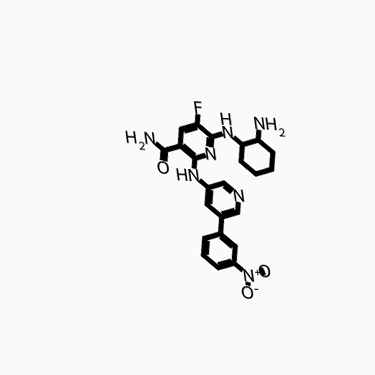 NC(=O)c1cc(F)c(NC2CCCCC2N)nc1Nc1cncc(-c2cccc([N+](=O)[O-])c2)c1